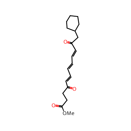 COC(=O)CCC(=O)C=CC=CC=CC(=O)CC1CCCCC1